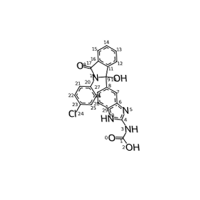 O=C(O)Nc1nc2cc(C3(O)c4ccccc4C(=O)N3c3ccc(Cl)cc3)ccc2[nH]1